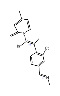 C=C1C=C(C)C=CN1/C(Br)=C(\C)c1ccc(/C=N/C)cc1CC